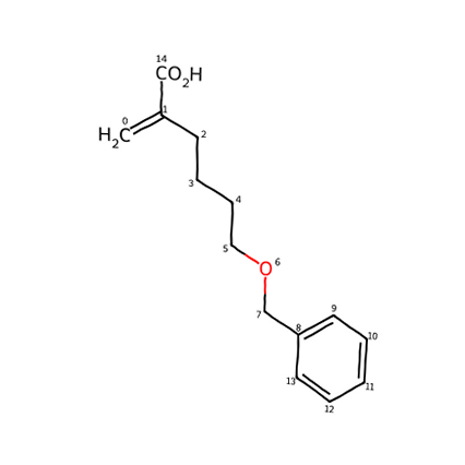 C=C(CCCCOCc1ccccc1)C(=O)O